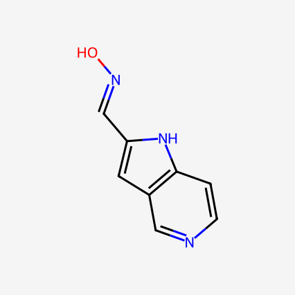 ON=Cc1cc2cnccc2[nH]1